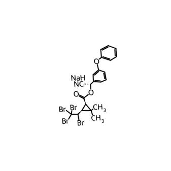 CC1(C)[C@H](C(=O)O[C@H](C#N)c2cccc(Oc3ccccc3)c2)[C@@H]1C(Br)C(Br)(Br)Br.[NaH]